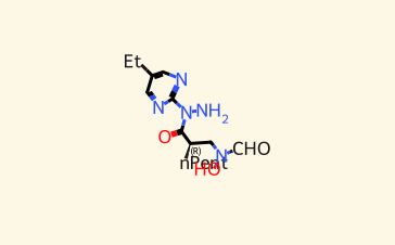 CCCCC[C@H](CN(O)C=O)C(=O)N(N)c1ncc(CC)cn1